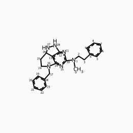 CN(CCc1ccccc1)c1nc2c3c(n1)N(Cc1ccccc1)CCC3NN2